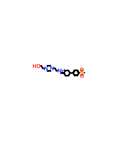 CS(=O)(=O)c1ccc(C2CCC(=CNCCN3CCN(CCO)CC3)CC2)cc1